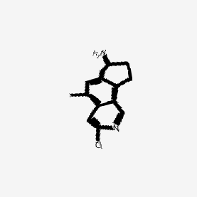 NC1CCc2c1cc(I)c1cc(Cl)ncc21